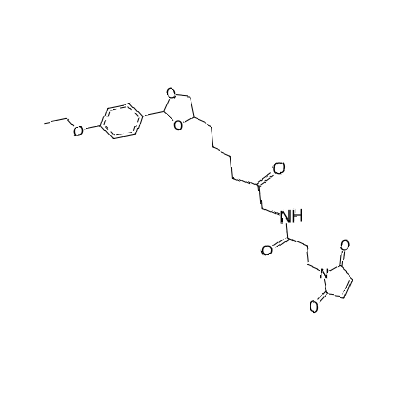 CCOc1ccc(C2OCC(CCCCC(=O)CNC(=O)CCN3C(=O)C=CC3=O)O2)cc1